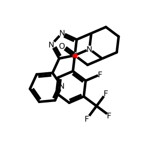 O=C(c1cccc(C(F)(F)F)c1F)N1C2CCCC1c1nnc(-c3ccccn3)n1C2